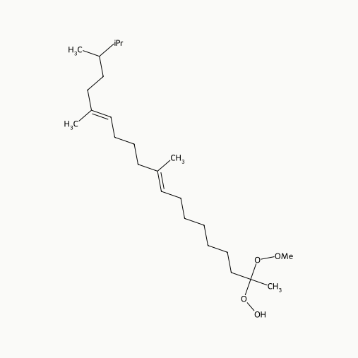 COOC(C)(CCCCCC/C=C(\C)CCC/C=C(\C)CCC(C)C(C)C)OO